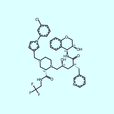 O=C(N[C@H]1c2ccccc2OC[C@H]1O)[C@H](Cc1cccnc1)C[C@H](O)CN1CCN(Cc2ccn(-c3cccc(Cl)c3)c2)C[C@H]1C(=O)NCC(F)(F)F